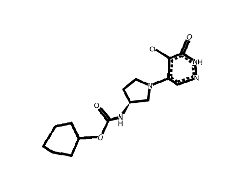 O=C(N[C@H]1CCN(c2cn[nH]c(=O)c2Cl)C1)OC1CCCCC1